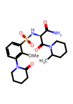 COc1c(N2CCCCC2=O)cccc1S(=O)(=O)N[C@@H](C(N)=O)C(=O)N1CCCCC1C